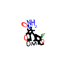 COC(=O)Cc1c(C)c2c(c(C)c1-c1cc(F)c3c(c1C)CCCO3)CN(C(N)=O)C2